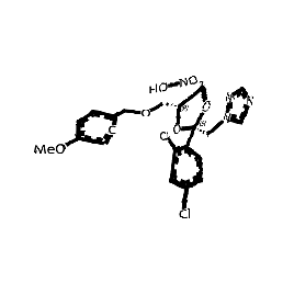 COc1ccc(COC[C@@H]2CO[C@@](Cn3cncn3)(c3ccc(Cl)cc3Cl)O2)cc1.O=[N+]([O-])O